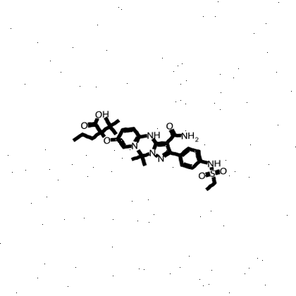 CCCC(Oc1ccc(Nc2c(C(N)=O)c(-c3ccc(NS(=O)(=O)CC)cc3)nn2C(C)(C)C)nc1)(C(=O)O)C(C)(C)C